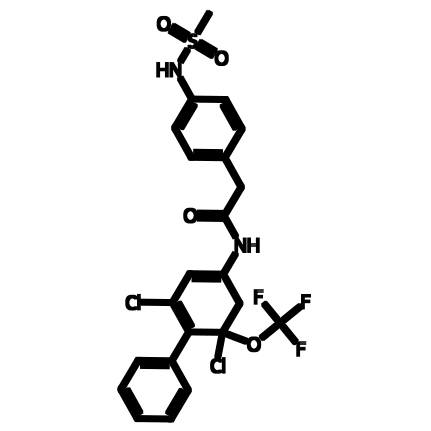 CS(=O)(=O)Nc1ccc(CC(=O)NC2=CC(Cl)=C(c3ccccc3)C(Cl)(OC(F)(F)F)C2)cc1